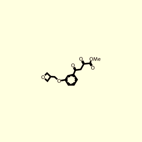 COC(=O)C(=O)CC(=O)c1cccc(OCC2COC2)c1